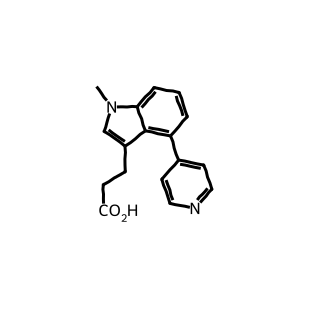 Cn1cc(CCC(=O)O)c2c(-c3ccncc3)cccc21